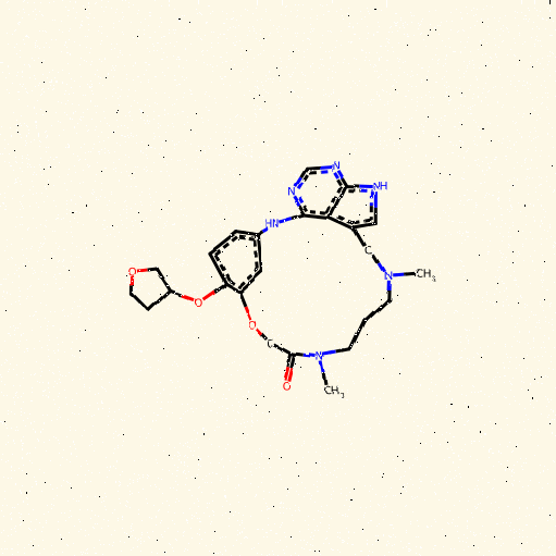 CN1CCCN(C)C(=O)COc2cc(ccc2OC2CCOC2)Nc2ncnc3[nH]cc(c23)C1